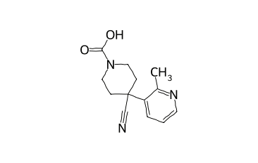 Cc1ncccc1C1(C#N)CCN(C(=O)O)CC1